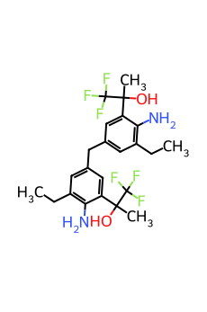 CCc1cc(Cc2cc(CC)c(N)c(C(C)(O)C(F)(F)F)c2)cc(C(C)(O)C(F)(F)F)c1N